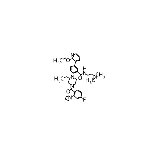 CCOc1ncccc1-c1ccc(N2CCN(C(=O)c3ccc(F)cc3N3CCC3)C[C@H]2CC)c(C(=O)NCCN(C)C)c1